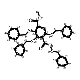 COC(=O)c1cc(SCc2ccccc2)c(C(=O)OSCc2ccccc2)c(SCc2ccccc2)c1SCc1ccccc1